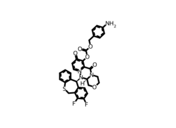 Nc1ccc(COC(=O)Oc2c3n(ccc2=O)N([C@@H]2c4ccccc4SCc4c2ccc(F)c4F)[C@@H]2COCCN2C3=O)cc1